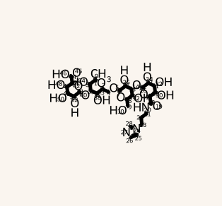 CC1OC(COC2OC(CO)C(O)C(OC3OC(C(=O)NCCCn4ccnc4)C(O)C(O)C3O)C2O)C(O)C(OC2OC(C(=O)O)C(O)C(O)C2O)C1O